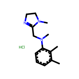 Cc1cccc(N(C)CC2=NCCN2C)c1C.Cl